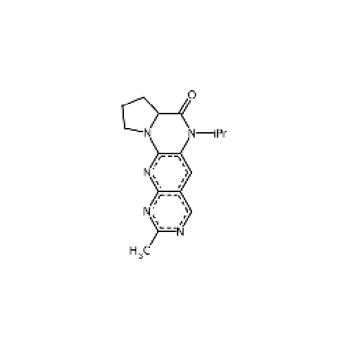 Cc1ncc2cc3c(nc2n1)N1CCCC1C(=O)N3C(C)C